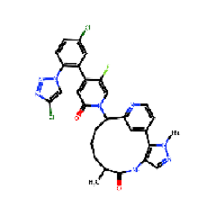 CC1CCCC(n2cc(F)c(-c3cc(Cl)ccc3-n3cc(Cl)nn3)cc2=O)c2cc(ccn2)-c2c(cnn2C(C)(C)C)NC1=O